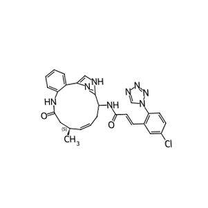 C[C@@H]1C=CCC(NC(=O)C=Cc2cc(Cl)ccc2-n2cnnn2)c2nc(c[nH]2)-c2ccccc2NC(=O)C1